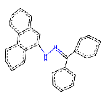 c1ccc(C(=NNc2cc3ccccc3c3ccccc23)c2ccccc2)cc1